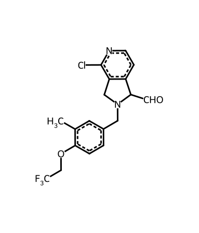 Cc1cc(CN2Cc3c(ccnc3Cl)C2C=O)ccc1OCC(F)(F)F